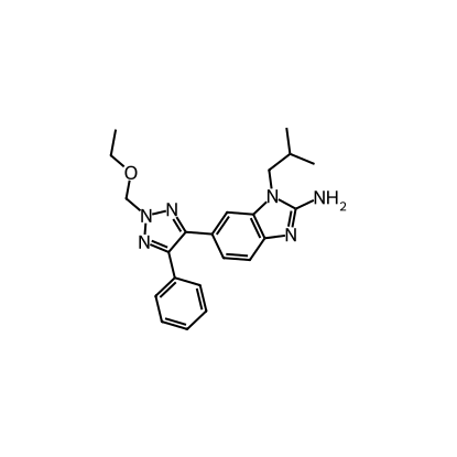 CCOCn1nc(-c2ccccc2)c(-c2ccc3nc(N)n(CC(C)C)c3c2)n1